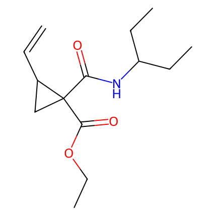 C=CC1CC1(C(=O)NC(CC)CC)C(=O)OCC